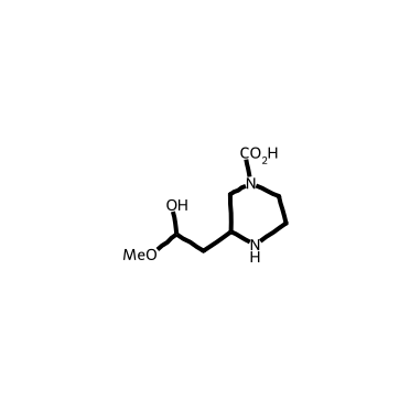 COC(O)CC1CN(C(=O)O)CCN1